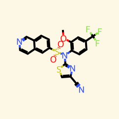 COc1cc(C(F)(F)F)ccc1N(c1nc(C#N)cs1)S(=O)(=O)c1ccc2cnccc2c1